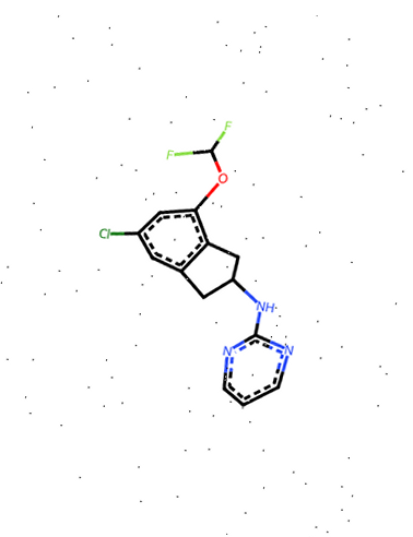 FC(F)Oc1cc(Cl)cc2c1CC(Nc1nc[c]cn1)C2